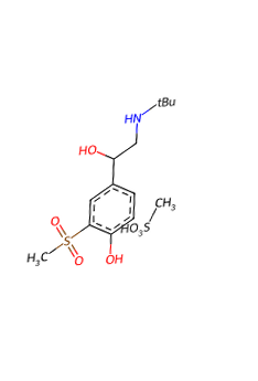 CC(C)(C)NCC(O)c1ccc(O)c(S(C)(=O)=O)c1.CS(=O)(=O)O